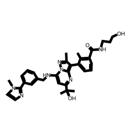 Cc1nn2c(NCc3cccc(-c4nccn4C)c3)cc(C(C)(C)O)nc2c1-c1cccc(C(=O)NCCCO)c1C